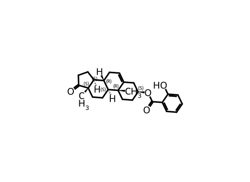 C[C@]12CC[C@H](OC(=O)c3ccccc3O)CC1=CC[C@@H]1[C@@H]2CC[C@]2(C)C(=O)CC[C@@H]12